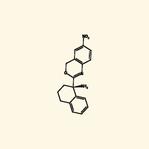 N[C@]1(C2=Nc3ccc([N+](=O)[O-])cc3CO2)CCCc2ccccc21